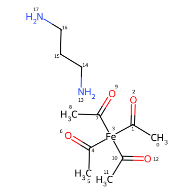 C[C](=O)[Fe]([C](C)=O)([C](C)=O)[C](C)=O.NCCCN